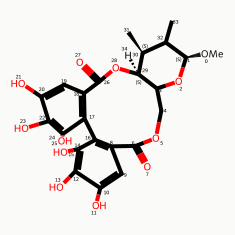 CO[C@H]1OC2COC(=O)c3cc(O)c(O)c(O)c3-c3c(cc(O)c(O)c3O)C(=O)O[C@H]2[C@@H](C)C1C